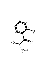 CCCCC[C@H](O)C(=N)c1ccccc1CC